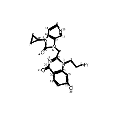 CC(C)CCn1c(Cn2c(=O)n(C3CC3)c3ccncc32)nc(=O)c2ccc(Cl)cc21